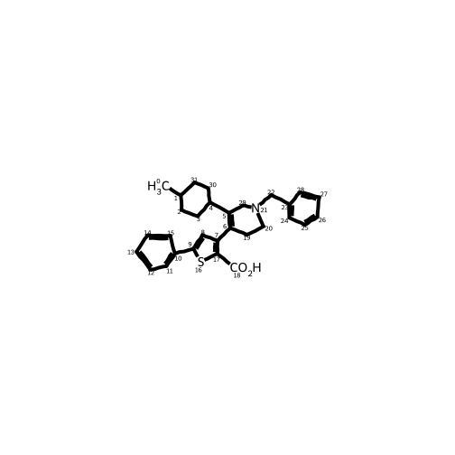 CC1CCC(C2=C(c3cc(-c4ccccc4)sc3C(=O)O)CCN(Cc3ccccc3)C2)CC1